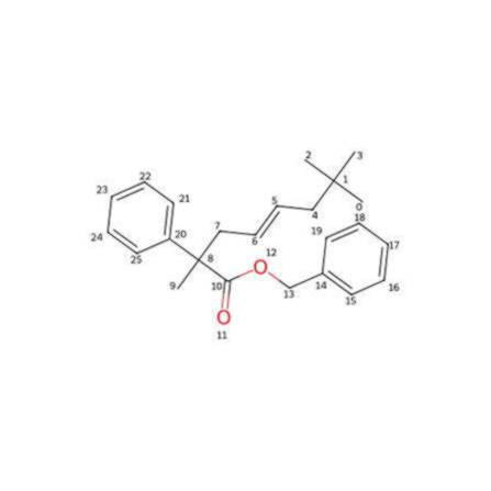 CC(C)(C)CC=CCC(C)(C(=O)OCc1ccccc1)c1ccccc1